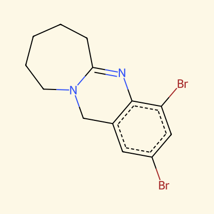 Brc1cc(Br)c2c(c1)CN1CCCCCC1=N2